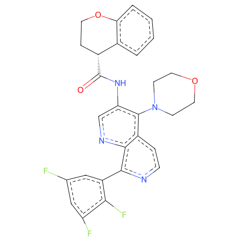 O=C(Nc1cnc2c(-c3cc(F)cc(F)c3F)nccc2c1N1CCOCC1)[C@@H]1CCOc2ccccc21